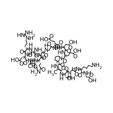 C[C@H](N)C(=O)N[C@@H](CCCNC(=N)N)C(=O)N[C@@H](CC(=O)O)C(=O)N[C@@H](C)C(=O)N[C@@H](CCC(N)=O)C(=O)NCC(=O)NCC(=O)N[C@@H](CCC(=O)O)C(=O)N[C@@H](CC(=O)O)C(=O)N[C@@H](CCC(=O)O)C(=O)N1CCC[C@H]1C(=O)N[C@@H](C)C(=O)N[C@@H](CO)C(=O)NCC(=O)N[C@@H](CCCCN)C(=O)NCC(=O)O